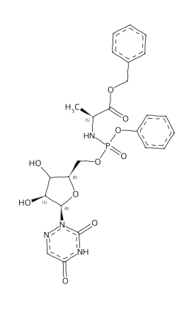 C[C@H](NP(=O)(OC[C@H]1O[C@@H](n2ncc(=O)[nH]c2=O)[C@@H](O)C1O)Oc1ccccc1)C(=O)OCc1ccccc1